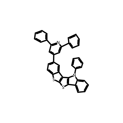 c1ccc(-c2cc(-c3ccc4sc5sc6c7ccccc7n(-c7ccccc7)c6c5c4c3)cc(-c3ccccc3)n2)cc1